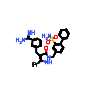 CC(C)c1[nH]n(Cc2ccc(-c3ccccc3)c(S(N)(=O)=O)c2)c(=O)c1Cc1cccc(C(=N)N)c1